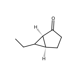 CCC1[C@H]2C(=O)CC[C@@H]12